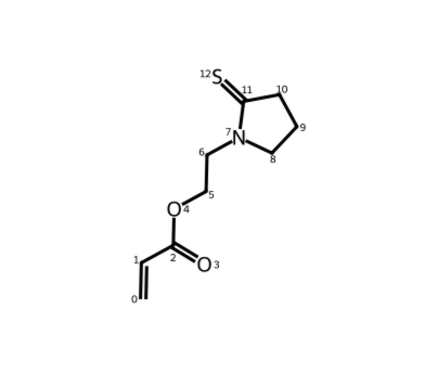 C=CC(=O)OCCN1CCCC1=S